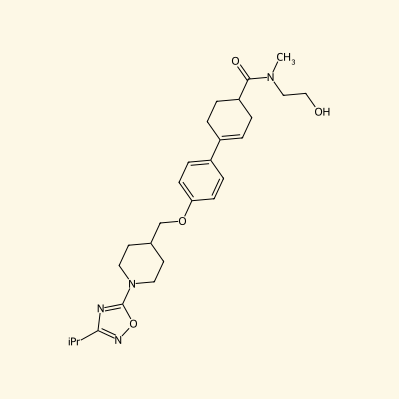 CC(C)c1noc(N2CCC(COc3ccc(C4=CCC(C(=O)N(C)CCO)CC4)cc3)CC2)n1